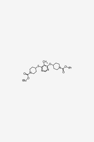 Cc1c(OC2CCN(C(=O)OC(C)C)CC2)ncnc1SC1CCN(C(=O)OC(C)(C)C)CC1